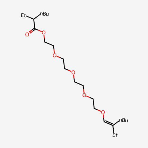 CCCC/C(=C\OCCOCCOCCOCCOC(=O)C(CC)CCCC)CC